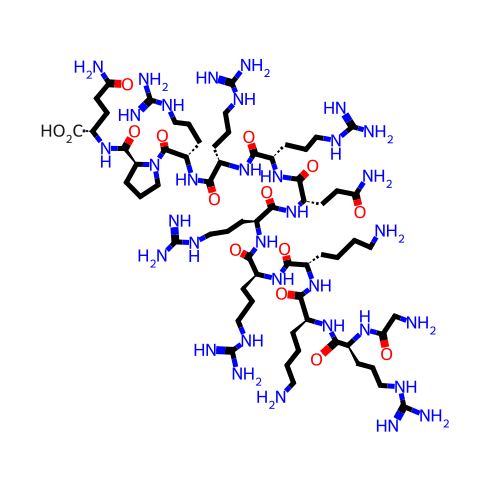 N=C(N)NCCC[C@H](NC(=O)CN)C(=O)N[C@@H](CCCCN)C(=O)N[C@@H](CCCCN)C(=O)N[C@@H](CCCNC(=N)N)C(=O)N[C@@H](CCCNC(=N)N)C(=O)N[C@@H](CCC(N)=O)C(=O)N[C@@H](CCCNC(=N)N)C(=O)N[C@@H](CCCNC(=N)N)C(=O)N[C@@H](CCCNC(=N)N)C(=O)N1CCC[C@H]1C(=O)N[C@@H](CCC(N)=O)C(=O)O